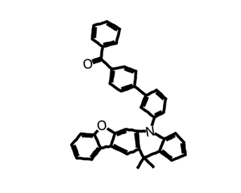 CC1(C)c2ccccc2N(c2cccc(-c3ccc(C(=O)c4ccccc4)cc3)c2)c2cc3oc4ccccc4c3cc21